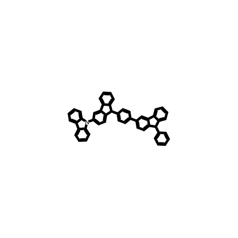 c1ccc(C2c3ccccc3-c3cc(-c4ccc(C5c6ccccc6-c6cc(-n7c8ccccc8c8ccccc87)ccc65)cc4)ccc32)cc1